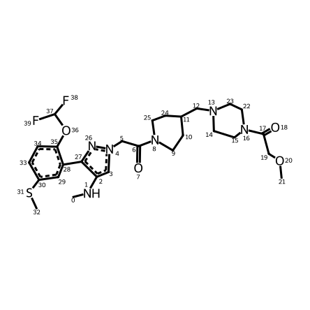 CNc1cn(CC(=O)N2CCC(CN3CCN(C(=O)COC)CC3)CC2)nc1-c1cc(SC)ccc1OC(F)F